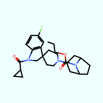 CCCOC(=O)N1C2CCC1CC(N1CCC3(CC1)CN(C(=O)C1CC1)c1ccc(F)cc13)C2